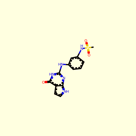 CS(=O)(=O)Nc1cccc(Nc2nc3[nH]ccc3c(=O)[nH]2)c1